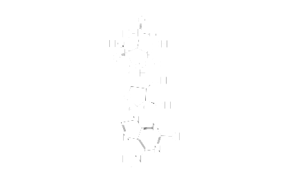 Nc1nc(Cl)nc2c1ncn2[C@@H]1O[C@H](COP(=O)(O)C(P(=O)(O)O)P(=O)(O)O)[C@@H](O)[C@H]1O